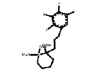 COC1(CCCc2cc(F)c(F)c(F)c2F)CCCC[Si]1(OC)OC